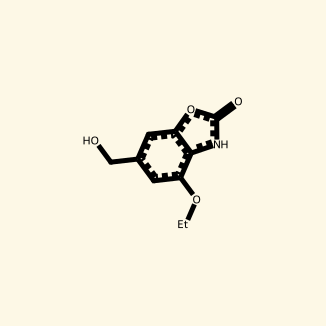 CCOc1cc(CO)cc2oc(=O)[nH]c12